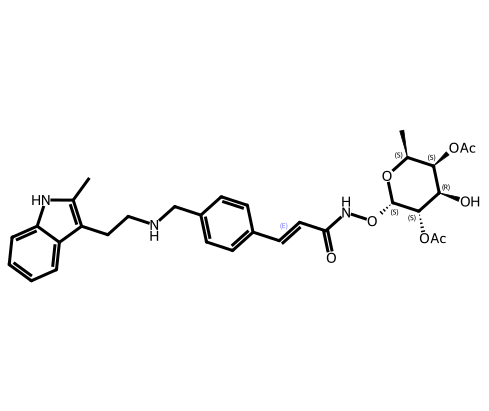 CC(=O)O[C@@H]1[C@H](ONC(=O)/C=C/c2ccc(CNCCc3c(C)[nH]c4ccccc34)cc2)O[C@@H](C)[C@@H](OC(C)=O)[C@H]1O